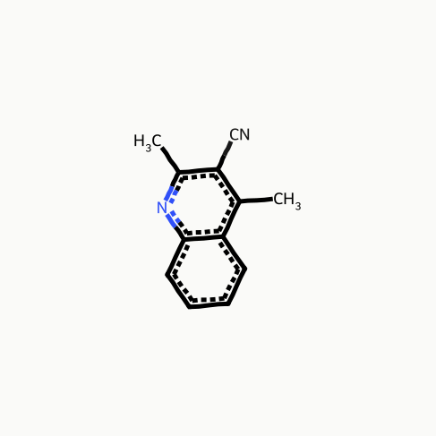 Cc1nc2ccccc2c(C)c1C#N